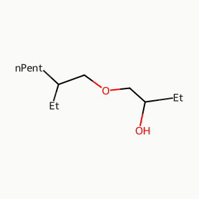 CCCCCC(CC)COCC(O)CC